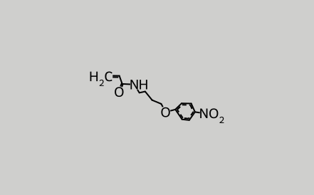 C=CC(=O)NCCCCOc1ccc([N+](=O)[O-])cc1